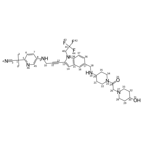 CC(C)(C#N)c1ccc(NCC#Cc2cc3cc(CNC4CCN(C(=O)CN5CCC(O)CC5)CC4)ccc3n2CC(F)(F)F)cn1